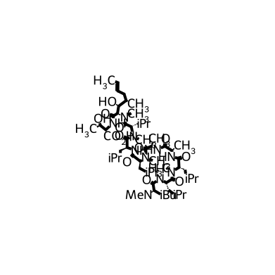 C/C=C/C[C@@H](C)[C@@H](O)[C@@H](C(=O)N[C@H](C(=O)O)[C@@H](C)O)N(C)C(=O)[C@H](C(C)C)N(C)C(=O)[C@H](CC(C)C)NC(=O)[C@H](CC(C)C)N(C)C(=O)[C@@H](C)NC(=O)[C@H](C)NC(=O)[C@H](CC(C)C)N(C)C(=O)[C@H](CC(C)C)NC(=O)[C@@H](NC)C(C)CC